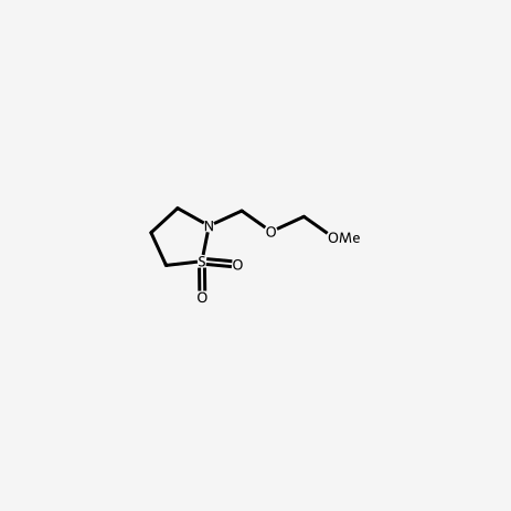 COCOCN1CCCS1(=O)=O